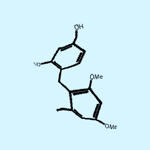 COc1cc(C)c(Cc2ccc(O)cc2O)c(OC)c1